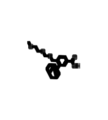 COCCOCOCc1ccc(C(=O)O)cc1C12CC3CC(CC(C3)C1)C2